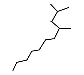 CCCCCCCC(C)[CH]C(C)C